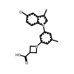 Cc1cc(N2CC(C(=O)O)C2)cc(-n2cc(C)c3cc(Cl)ccc32)c1